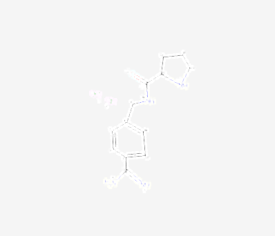 Cl.Cl.N=C(N)c1ccc(CNC(=O)C2CCCN2)cc1